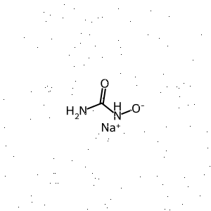 NC(=O)N[O-].[Na+]